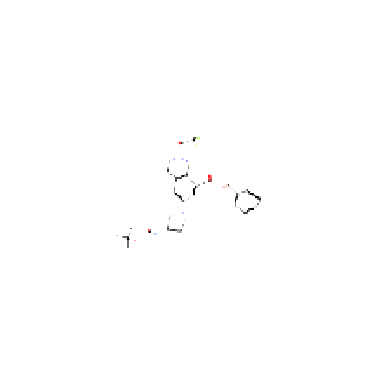 CC(C)(C)OC(=O)N[C@H]1CCN(c2cc3c(c(C(=O)OCc4ccccc4)c2)CN(C(=O)C(F)(F)F)CC3)C1